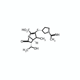 CC(=N)N1CC[C@@H](SC2=C(C(=O)O)N3C(=O)[C@@H](C(C)O)[C@@H]3C2C)C1